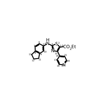 CCOC(=O)c1sc(Nc2ccc3c(c2)CCC3)nc1-c1ccncc1